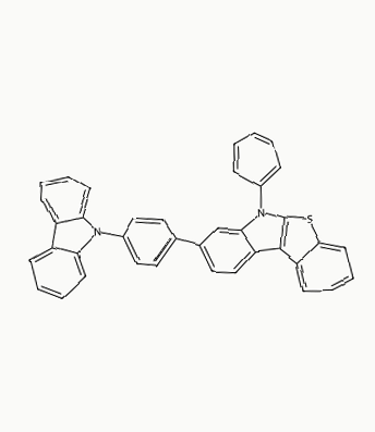 c1ccc(-n2c3cc(-c4ccc(-n5c6ccccc6c6ccccc65)cc4)ccc3c3c4ccccc4sc32)cc1